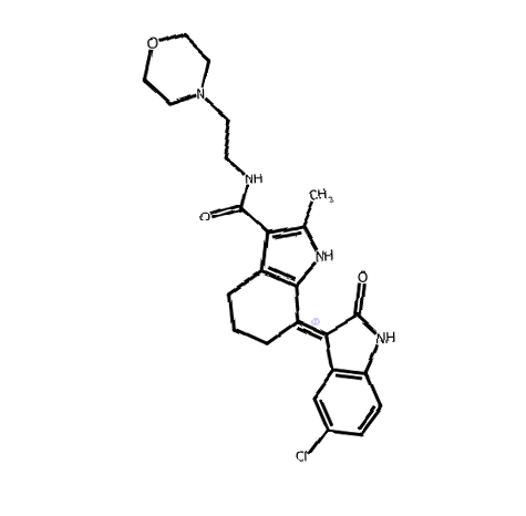 Cc1[nH]c2c(c1C(=O)NCCN1CCOCC1)CCC/C2=C1/C(=O)Nc2ccc(Cl)cc21